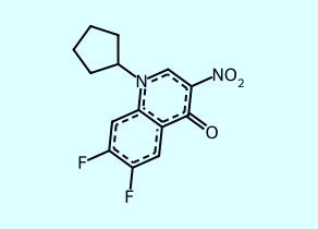 O=c1c([N+](=O)[O-])cn(C2CCCC2)c2cc(F)c(F)cc12